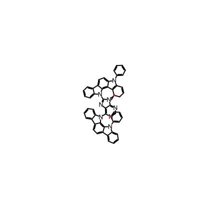 CC1CC=Cc2c1c1c(ccc3c4ccccc4n(-c4nc5c(-n6c7ccccc7c7ccc8c9ccccc9n(-c9ccccc9)c8c76)ncnc5n4C)c31)n2-c1ccccc1